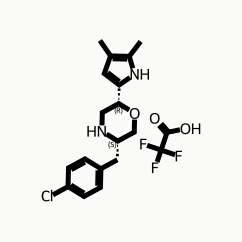 Cc1cc([C@H]2CN[C@@H](Cc3ccc(Cl)cc3)CO2)[nH]c1C.O=C(O)C(F)(F)F